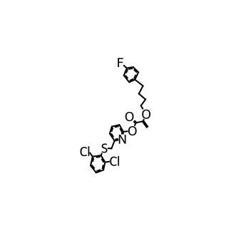 C=C(OCCCCc1ccc(F)cc1)C(=O)Oc1cccc(CSc2c(Cl)cccc2Cl)n1